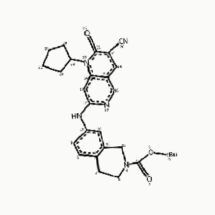 CC(C)(C)OC(=O)N1CCc2ccc(Nc3cc4c(cn3)cc(C#N)c(=O)n4C3CCCC3)cc2C1